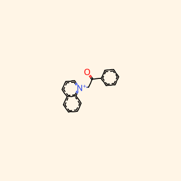 O=C(C[n+]1cccc2ccccc21)c1ccccc1